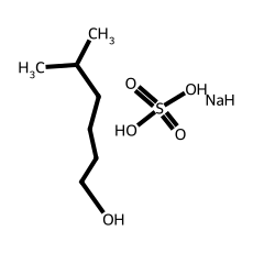 CC(C)CCCCO.O=S(=O)(O)O.[NaH]